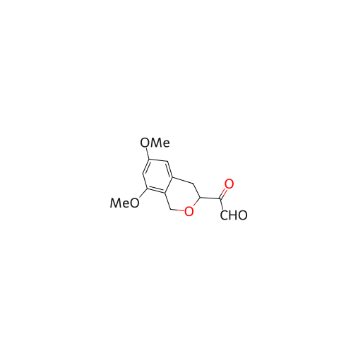 COc1cc2c(c(OC)c1)COC(C(=O)C=O)C2